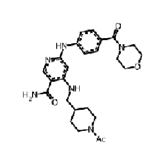 CC(=O)N1CCC(CNc2cc(Nc3ccc(C(=O)N4CCOCC4)cc3)ncc2C(N)=O)CC1